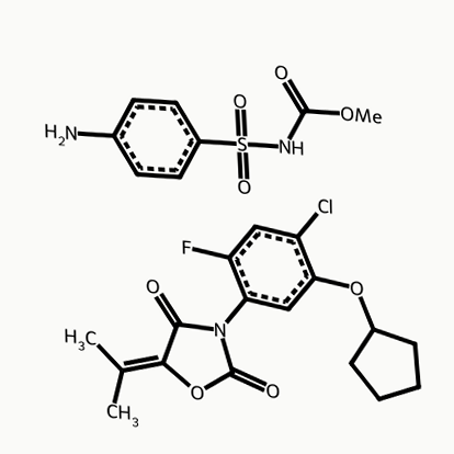 CC(C)=C1OC(=O)N(c2cc(OC3CCCC3)c(Cl)cc2F)C1=O.COC(=O)NS(=O)(=O)c1ccc(N)cc1